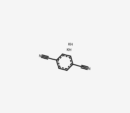 N#Cc1ccc(C#N)cc1.[KH].[KH]